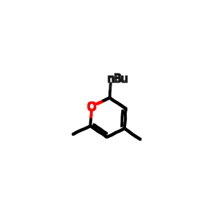 CCCCC1C=C(C)C=C(C)O1